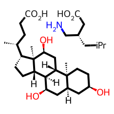 CC(C)C[C@H](CN)CC(=O)O.C[C@H](CCC(=O)O)[C@H]1CC[C@H]2[C@@H]3[C@H](O)C[C@@H]4C[C@H](O)CC[C@]4(C)[C@H]3C[C@H](O)[C@]12C